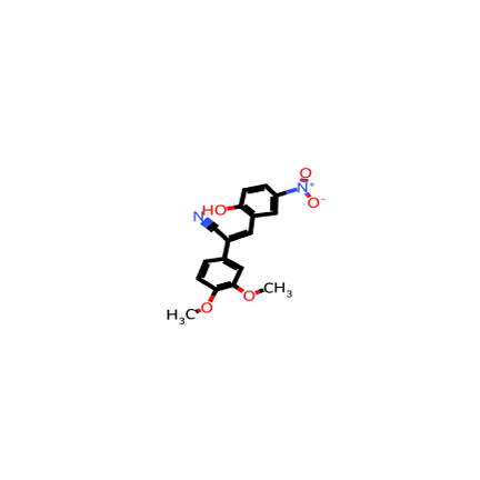 COc1ccc(C(C#N)=Cc2cc([N+](=O)[O-])ccc2O)cc1OC